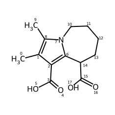 Cc1c(C(=O)O)c2n(c1C)CCCCC2C(=O)O